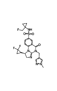 Cn1cc(CN2C(=O)c3cc(S(=O)(=O)NC4(CF)CC4)ccc3N3C2=NC[C@H]3C2CC2(F)F)cn1